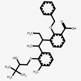 CCC(c1cccc(C(=O)O)c1OCc1ccccc1)C(C)c1cccc(C)c1OCC(O)C(C)(C)C